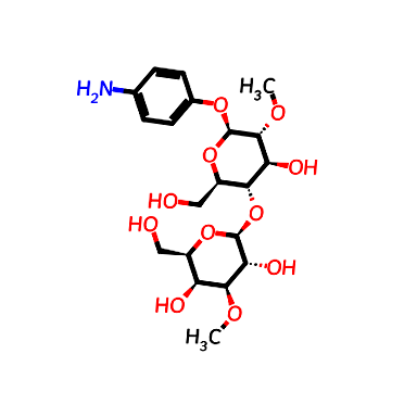 CO[C@H]1[C@@H](O)[C@@H](CO)O[C@@H](O[C@H]2[C@H](O)[C@@H](OC)[C@H](Oc3ccc(N)cc3)O[C@@H]2CO)[C@@H]1O